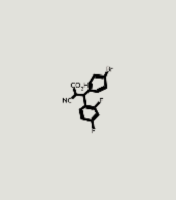 N#CC(C(=O)O)C(c1ccc(Br)cc1)c1ccc(F)cc1F